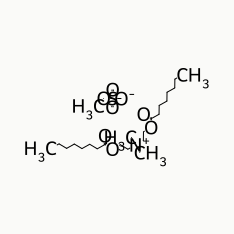 CCCCCCCC(=O)OCC[N+](C)(C)CCOC(=O)CCCCCCC.COS(=O)(=O)[O-]